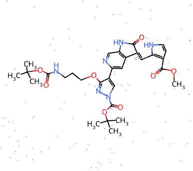 COC(=O)c1cc[nH]c1/C=C1\C(=O)Nc2cnc(-c3cn(C(=O)OC(C)(C)C)nc3OCCCNC(=O)OC(C)(C)C)cc21